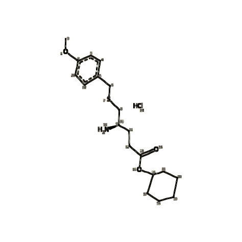 COc1ccc(CSC[C@H](N)CCC(=O)OC2CCCCC2)cc1.Cl